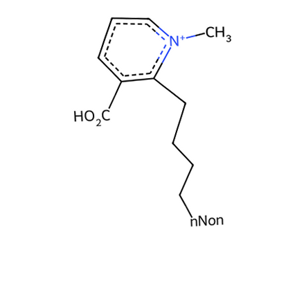 CCCCCCCCCCCCCc1c(C(=O)O)ccc[n+]1C